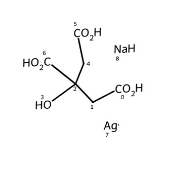 O=C(O)CC(O)(CC(=O)O)C(=O)O.[Ag].[NaH]